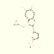 O=P(O)(O)c1ccc(-c2nc3cc(Cl)c(Cl)cc3n2CC2CC2)o1